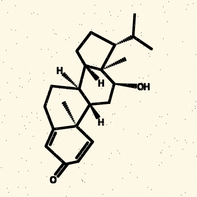 CC(C)[C@H]1CC[C@H]2[C@@H]3CCC4=CC(=O)C=C[C@]4(C)[C@H]3C[C@H](O)[C@]12C